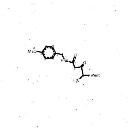 CCCCCC(C)C(=O)CC(=O)NCc1ccc(OC)cc1